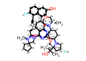 C#Cc1c(F)ccc2cc(O)cc([C@@H]3CCc4c(nc(OC[C@]5(C(C)(C)O)C[C@@H](F)CN5C5CCC(N6CCOC[C@@H]6C)CC5)nc4NCC4(N(C)C(=O)C=C)CCCC4)C3)c12